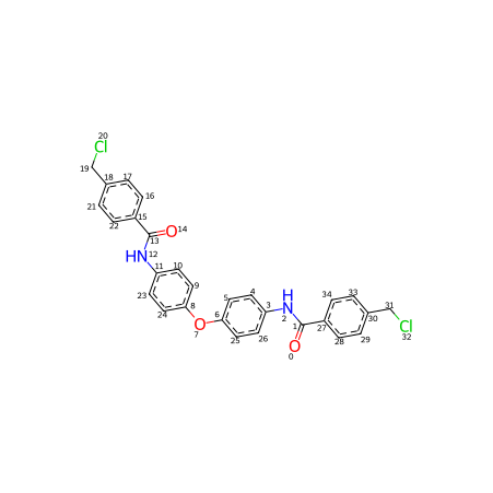 O=C(Nc1ccc(Oc2ccc(NC(=O)c3ccc(CCl)cc3)cc2)cc1)c1ccc(CCl)cc1